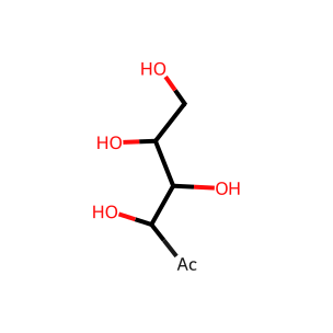 CC(=O)C(O)C(O)C(O)CO